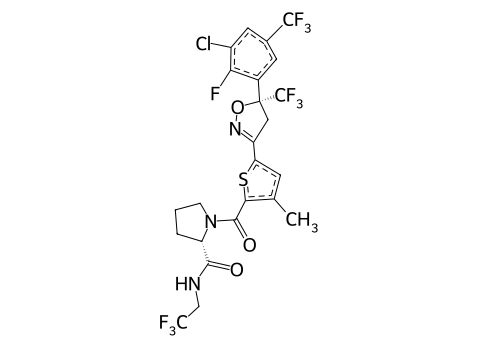 Cc1cc(C2=NO[C@](c3cc(C(F)(F)F)cc(Cl)c3F)(C(F)(F)F)C2)sc1C(=O)N1CCC[C@H]1C(=O)NCC(F)(F)F